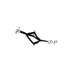 CC(C)C12CC(C(=O)O)(C1)C2